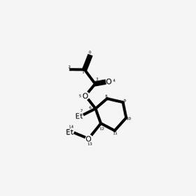 C=C(C)C(=O)OC1(CC)CCCCC1OCC